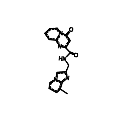 Cc1cccn2cc(CNC(=O)c3cc(=O)n4ccccc4n3)nc12